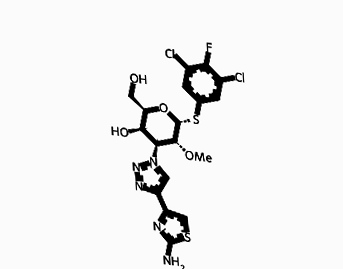 CO[C@@H]1[C@@H](n2cc(-c3csc(N)n3)nn2)[C@@H](O)[C@@H](CO)O[C@@H]1Sc1cc(Cl)c(F)c(Cl)c1